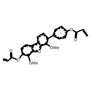 C=CC(=O)Oc1ccc(-c2ccc3c(oc4c(OC)c(OC(=O)C=C)ccc43)c2OC)cc1